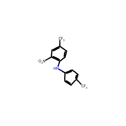 O=[N+]([O-])c1cc(C(F)(F)F)ccc1Nc1ccc(C(F)(F)F)cc1